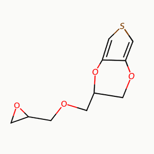 c1scc2c1OCC(COCC1CO1)O2